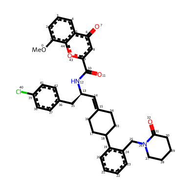 COc1cccc2c(=O)cc(C(=O)N[C@@H](C=C3CCC(c4ccccc4CN4CCCCC4=O)CC3)Cc3ccc(Cl)cc3)oc12